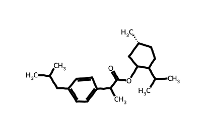 CC(C)Cc1ccc(C(C)C(=O)OC2C[C@H](C)CCC2C(C)C)cc1